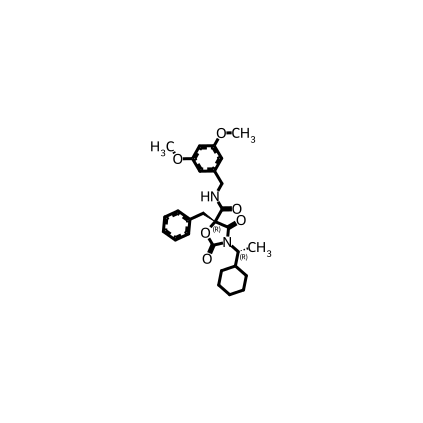 COc1cc(CNC(=O)[C@@]2(Cc3ccccc3)OC(=O)N([C@H](C)C3CCCCC3)C2=O)cc(OC)c1